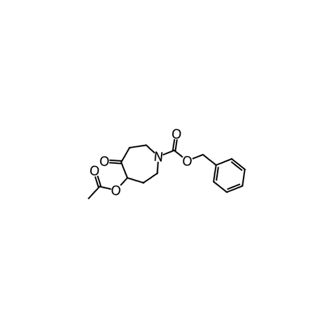 CC(=O)OC1CCN(C(=O)OCc2ccccc2)CCC1=O